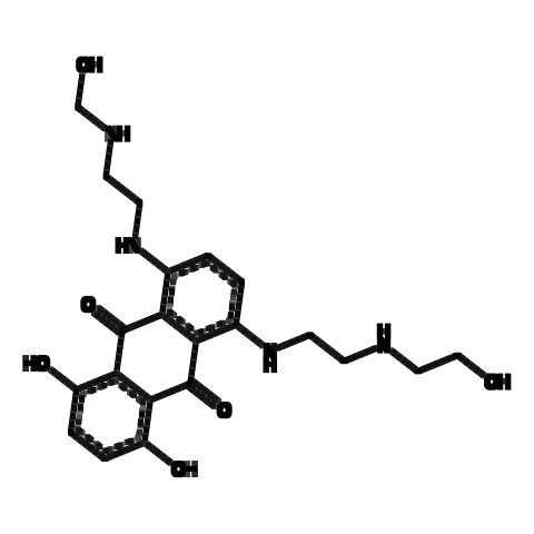 O=C1c2c(O)ccc(O)c2C(=O)c2c(NCCNCCO)ccc(NCCNCO)c21